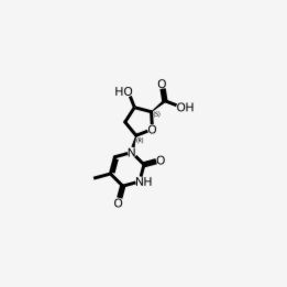 Cc1cn([C@H]2CC(O)[C@@H](C(=O)O)O2)c(=O)[nH]c1=O